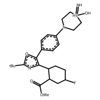 COC(=O)C1CC(F)CCC1c1nc(C(C)(C)C)oc1-c1ccc(N2CC[SH](=N)(O)CC2)cc1